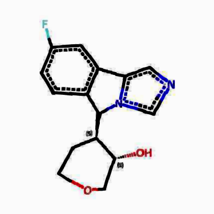 O[C@@H]1COCC[C@H]1C1c2ccc(F)cc2-c2cncn21